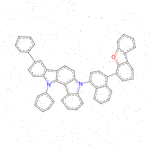 c1ccc(-c2ccc3c(c2)c2ccc4c(c5ccccc5n4-c4ccc(-c5cccc6c5oc5ccccc56)c5ccccc45)c2n3-c2ccccc2)cc1